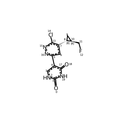 O=c1[nH]cc(-c2cc([C@@H]3C[C@H]3CF)c(Cl)nn2)c(=O)[nH]1